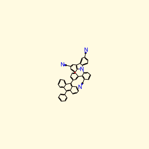 N#Cc1ccc2c(c1)c1cc(C#N)ccc1n2-c1cccc(C#N)c1-c1cccc(-c2c3ccccc3c(-c3ccccc3)c3ccccc23)c1